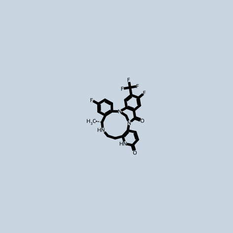 C[C@H]1NCCc2[nH]c(=O)ccc2N2CN(c3cc(C(F)(F)F)c(F)cc3C2=O)c2ccc(F)cc21